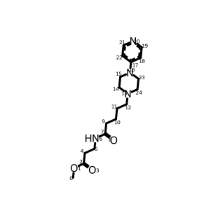 COC(=O)CCNC(=O)CCCCN1CCN(c2ccncc2)CC1